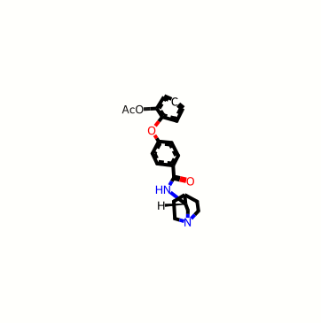 CC(=O)Oc1ccccc1Oc1ccc(C(=O)N[C@H]2CN3CCC2CC3)cc1